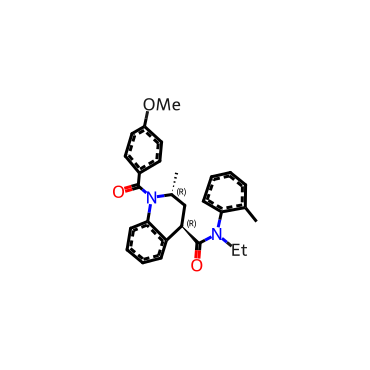 CCN(C(=O)[C@@H]1C[C@@H](C)N(C(=O)c2ccc(OC)cc2)c2ccccc21)c1ccccc1C